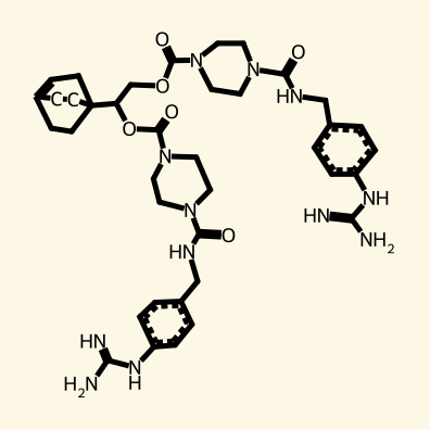 N=C(N)Nc1ccc(CNC(=O)N2CCN(C(=O)OCC(OC(=O)N3CCN(C(=O)NCc4ccc(NC(=N)N)cc4)CC3)C34CC=C(CC3)CC4)CC2)cc1